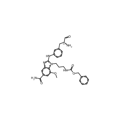 COc1cc(C(N)=O)cc2nc(Nc3cccc(C[C@H](N)C=O)c3)n(CCCNC(=O)OCc3ccccc3)c12